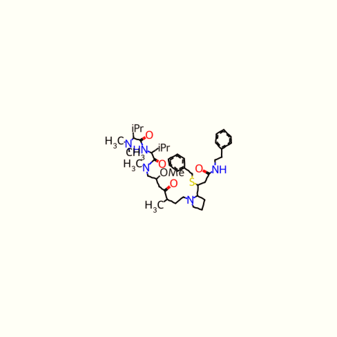 COC(CC(=O)C(C)CCN1CCCC1C(CC(=O)NCCc1ccccc1)SCc1ccccc1)CN(C)C(=O)C(NC(=O)C(C(C)C)N(C)C)C(C)C